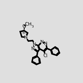 CO[C@@H]1CCN(CCn2nc(-c3ccccc3)c3c(Cl)c(-c4ccccc4)nnc32)C1